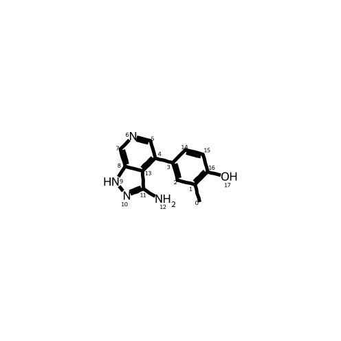 Cc1cc(-c2cncc3[nH]nc(N)c23)ccc1O